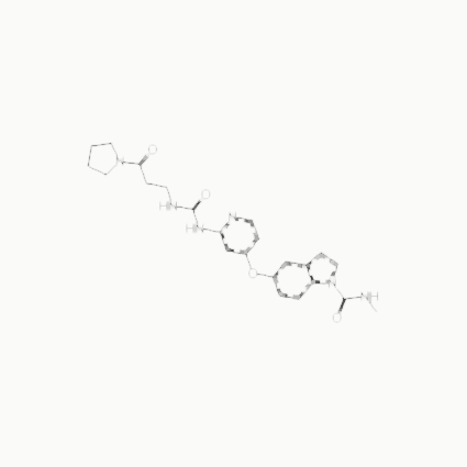 CNC(=O)n1ccc2cc(Oc3ccnc(NC(=O)NCCC(=O)N4CCCC4)c3)ccc21